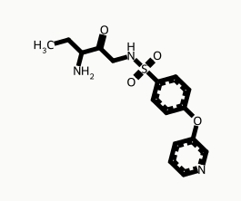 CCC(N)C(=O)CNS(=O)(=O)c1ccc(Oc2cccnc2)cc1